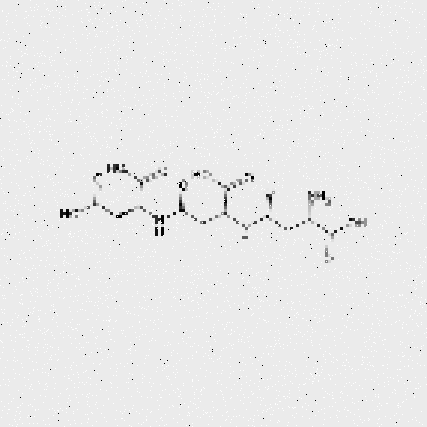 N[C@@H](CC(=O)NC(CC(=O)N[C@@H](CC(=O)O)C(=O)O)C(=O)O)C(=O)O